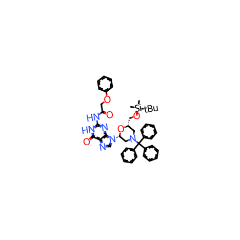 CC(C)(C)[Si](C)(C)OC[C@@H]1CN(C(c2ccccc2)(c2ccccc2)c2ccccc2)C[C@H](n2cnc3c(=O)[nH]c(NC(=O)COc4ccccc4)nc32)O1